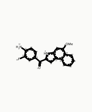 COc1cc2[nH]c(C(=O)c3ccc(N)c(F)c3)cc2c2ccccc12